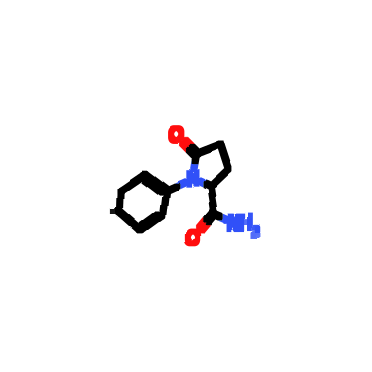 NC(=O)C1CCC(=O)N1C1=CC[CH]C=C1